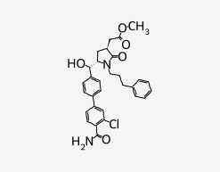 COC(=O)C[C@@H]1C[C@@H](C(O)c2ccc(-c3ccc(C(N)=O)c(Cl)c3)cc2)N(CCCc2ccccc2)C1=O